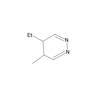 CCC1C=NN=CC1C